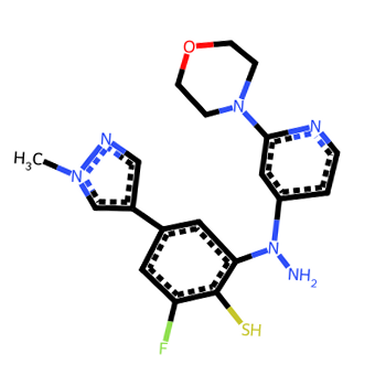 Cn1cc(-c2cc(F)c(S)c(N(N)c3ccnc(N4CCOCC4)c3)c2)cn1